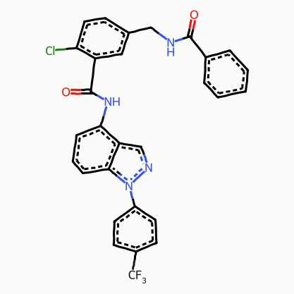 O=C(NCc1ccc(Cl)c(C(=O)Nc2cccc3c2cnn3-c2ccc(C(F)(F)F)cc2)c1)c1ccccc1